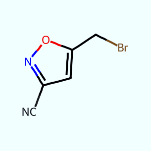 N#Cc1cc(CBr)on1